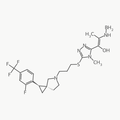 BN/C(C)=C(\O)c1nnc(SCCCN2CC[C@@]3(C[C@H]3c3ccc(C(F)(F)F)cc3F)C2)n1C